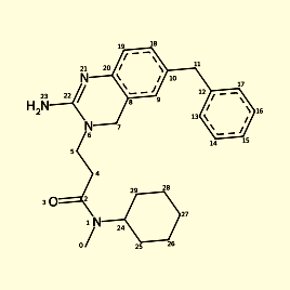 CN(C(=O)CCN1Cc2cc(Cc3ccccc3)ccc2N=C1N)C1CCCCC1